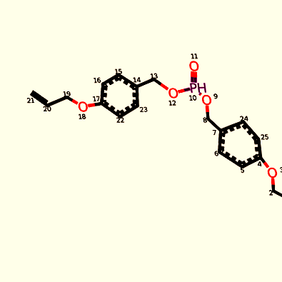 C=CCOc1ccc(CO[PH](=O)OCc2ccc(OCC=C)cc2)cc1